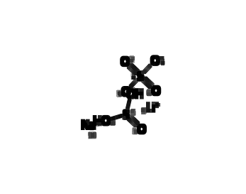 O=S(=O)([O-])[O-].O=S(O)O.[Li+].[Na+]